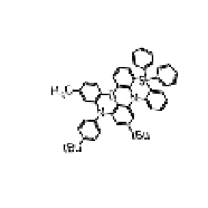 Cc1ccc2c(c1)N(c1ccc(C(C)(C)C)cc1)c1cc(C(C)(C)C)cc3c1B2c1cccc2c1N3c1ccccc1[Si]2(c1ccccc1)c1ccccc1